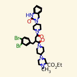 CCOC(=O)C1CN(C2CCN(C(=O)C(CC(=O)N3CCC(N4Cc5ccccc5NC4=O)CC3)Cc3ccc(Br)c(Br)c3)CC2)CCN1C